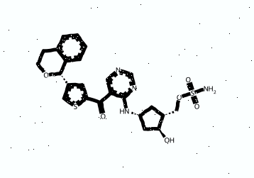 NS(=O)(=O)OC[C@H]1C[C@@H](Nc2ncncc2C(=O)c2cc([C@@H]3OCCc4ccccc43)cs2)C[C@@H]1O